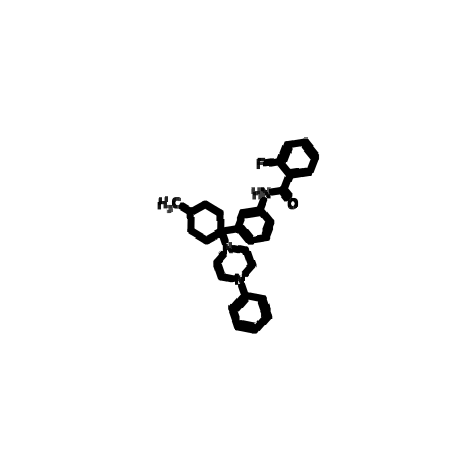 CC1CCC(c2cccc(NC(=O)c3ccccc3F)c2)(N2CCN(c3ccccc3)CC2)CC1